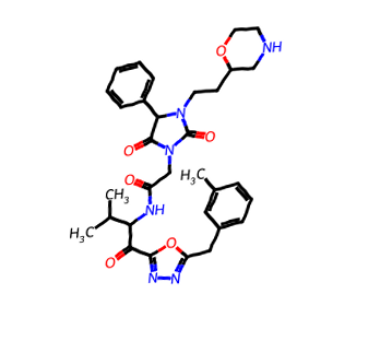 Cc1cccc(Cc2nnc(C(=O)C(NC(=O)CN3C(=O)C(c4ccccc4)N(CCC4CNCCO4)C3=O)C(C)C)o2)c1